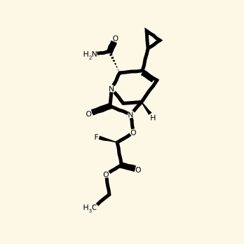 CCOC(=O)[C@@H](F)ON1C(=O)N2C[C@@H]1C=C(C1CC1)[C@H]2C(N)=O